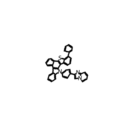 c1ccc(-c2cccc3c2sc2c4ccccc4c4c5ccccc5n(-c5ccc(-c6cn7ccccc7n6)cc5)c4c32)cc1